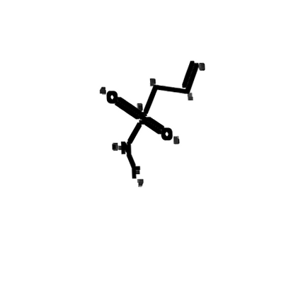 C=CCS(=O)(=O)[N]F